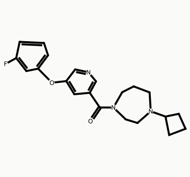 O=C(c1cncc(Oc2cccc(F)c2)c1)N1CCCN(C2CCC2)CC1